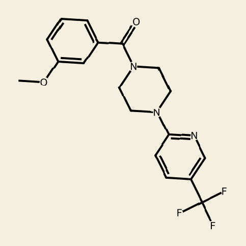 COc1cccc(C(=O)N2CCN(c3ccc(C(F)(F)F)cn3)CC2)c1